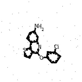 Nc1ccc2c(c1)nc(Oc1cccc(Cl)c1)c1ccsc12